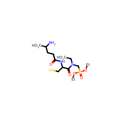 CCOP(=O)(CN(CC(=O)O)C(=O)C(CS)NC(=O)CCC(N)C(=O)O)OCC